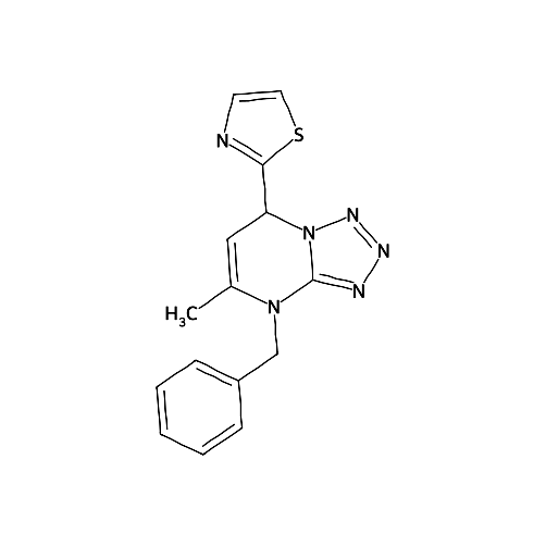 CC1=CC(c2nccs2)n2nnnc2N1Cc1ccccc1